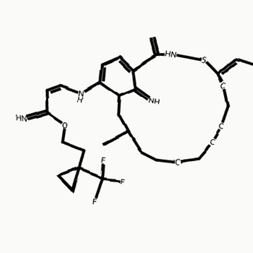 C=C1NS/C(=C/C)CCCCCCCCC(C)CC2C(=N)C1=CC=C2N/C=C\C(=N)OCCC1(C(F)(F)F)CC1